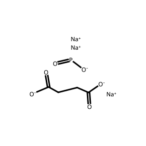 O=C([O-])CCC(=O)[O-].O=P[O-].[Na+].[Na+].[Na+]